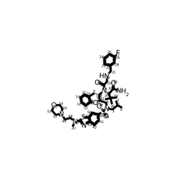 CC(C)CN(C[C@@H](O)[C@H](Cc1ccccc1)N(C(=O)CNCc1cccc(F)c1)[C@H](C(N)=O)C(C)(C)C)S(=O)(=O)c1ccc2nc(N(C)CCN3CCOCC3)sc2c1